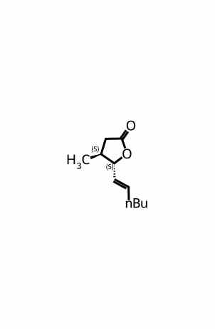 CCCCC=C[C@H]1OC(=O)C[C@@H]1C